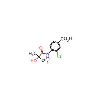 CC(O)(C(=O)Nc1ccc(C(=O)O)cc1Cl)C(F)(F)F